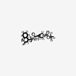 Cc1cc(C(C)(C)NC(=O)C2C3CN(C(=O)OC(C)(C)C)CC32)c2ccccc2n1